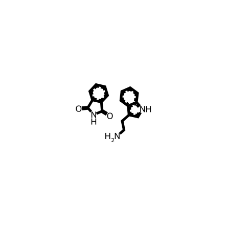 NCCc1c[nH]c2ccccc12.O=C1NC(=O)c2ccccc21